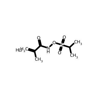 C=C(C)C(=O)NOS(=O)(=O)C(C)C.[LiH]